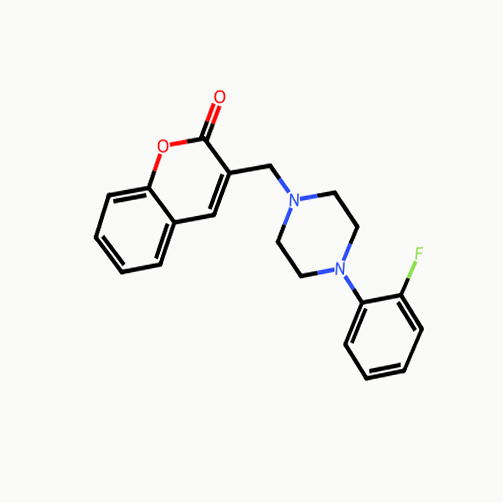 O=c1oc2ccccc2cc1CN1CCN(c2ccccc2F)CC1